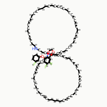 Fc1cccc(Oc2cc(F)c(F)cc2N2CCCNCCCCCCCCCCCCCCCCCCCCCCCCCCCCCCCCCCCCCCCCC3(CCCCCCCCCCCCCCCCCCCCCCCCCCCCCCCCCCCCCCCCCCCCCC34OCCO4)C2)c1